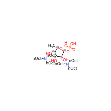 CCCCCCCCN(CCCCCCCC)CCCCCCCC.CCCCCCCCN(CCCCCCCC)CCCCCCCC.C[C@@H]1O[C@H](OP(=O)(O)O)[C@@H](O)[C@H](O)[C@@H]1O